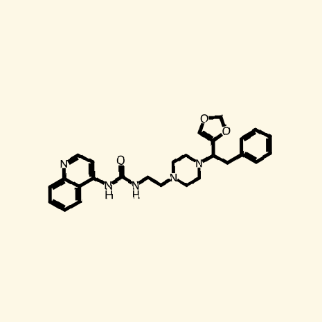 O=C(NCCN1CCN(C(Cc2ccccc2)C2=COCO2)CC1)Nc1ccnc2ccccc12